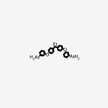 CCC(c1ccc(Oc2cccc([AsH2])c2)cc1)c1ccc(Oc2cccc([AsH2])c2)cc1